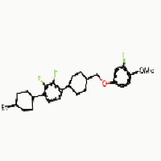 CCC1CCC(c2ccc(C3CCC(COc4ccc(OC)c(F)c4)CC3)c(F)c2F)CC1